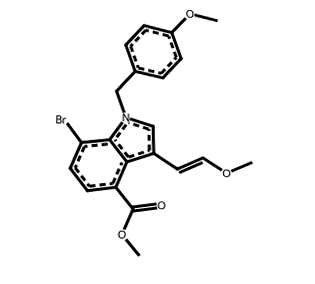 COC=Cc1cn(Cc2ccc(OC)cc2)c2c(Br)ccc(C(=O)OC)c12